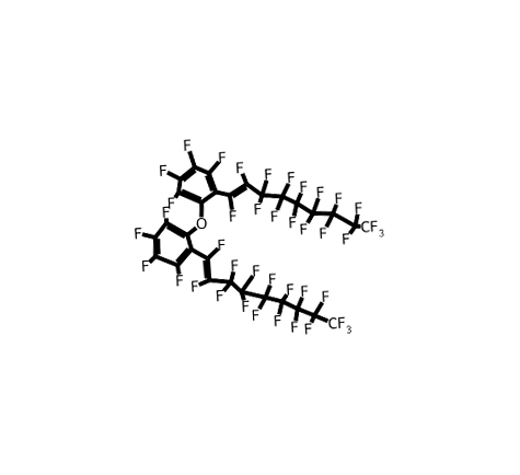 FC(=C(F)C(F)(F)C(F)(F)C(F)(F)C(F)(F)C(F)(F)C(F)(F)C(F)(F)F)c1c(F)c(F)c(F)c(F)c1Oc1c(F)c(F)c(F)c(F)c1C(F)=C(F)C(F)(F)C(F)(F)C(F)(F)C(F)(F)C(F)(F)C(F)(F)C(F)(F)F